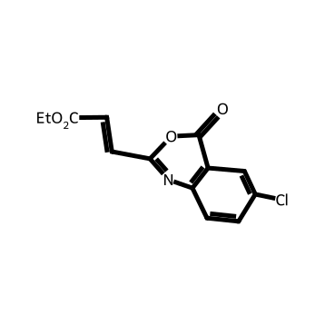 CCOC(=O)/C=C/c1nc2ccc(Cl)cc2c(=O)o1